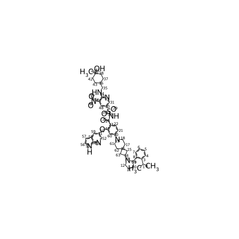 CC(C)c1ccccc1[C@H]1CCCN1C1CC2(CCN(c3ccc(C(=O)NS(=O)(=O)c4cnc(NCC5CCC(C)(O)CC5)c([N+](=O)[O-])c4)c(Oc4cnc5[nH]ccc5c4)c3)CC2)C1